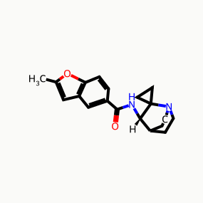 Cc1cc2cc(C(=O)N[C@H]3C4CCN(CC4)C34CC4)ccc2o1